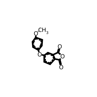 COc1ccc(Oc2ccc3c(c2)C(=O)OC3=O)cc1